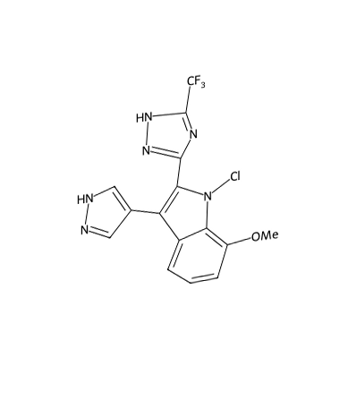 COc1cccc2c(-c3cn[nH]c3)c(-c3n[nH]c(C(F)(F)F)n3)n(Cl)c12